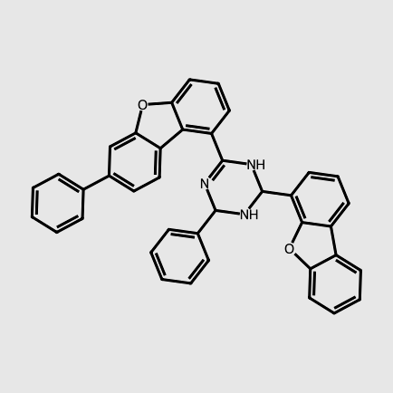 c1ccc(-c2ccc3c(c2)oc2cccc(C4=NC(c5ccccc5)NC(c5cccc6c5oc5ccccc56)N4)c23)cc1